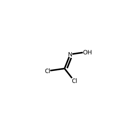 ON=C(Cl)Cl